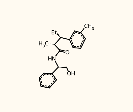 CC[C@@H](c1cccc(C)c1)[C@@H](C)C(=O)N[C@@H](CO)c1ccccc1